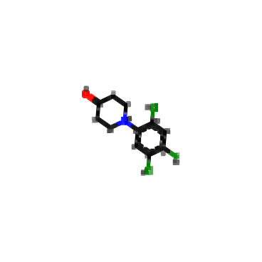 O=C1CCN(c2cc(Cl)c(F)cc2Cl)CC1